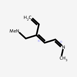 C=C/C(=C\C=N/C)CNC